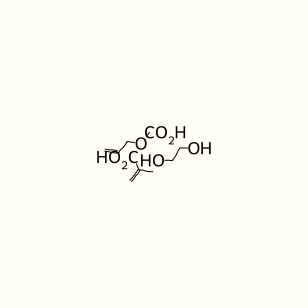 C=C(C)C(=O)O.C=CCOC(=O)O.OCCO